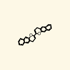 C1=C(C2=CCc3cc4ccccc4cc3O2)Oc2cc3ccccc3cc2C1